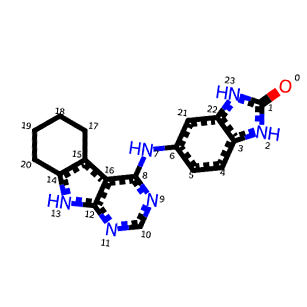 O=c1[nH]c2ccc(Nc3ncnc4[nH]c5c(c34)CCCC5)cc2[nH]1